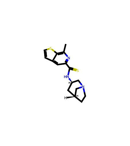 Cc1nc(C(=S)N[C@@H]2C[C@H]3CCN(C3)C2)cc2ccsc12